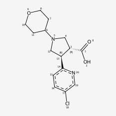 O=C(O)[C@H]1CN(C2CCOCC2)C[C@@H]1c1ccc(Cl)cn1